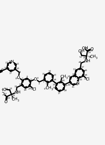 Cc1c(COc2cc(OCc3cncc(C#N)c3)c(CN[C@@](C)(CO)C(=O)O)cc2Cl)cccc1-c1cccc(-c2cnc3c(Cl)cc(CN[C@@](C)(CO)C(=O)O)cc3c2)c1C